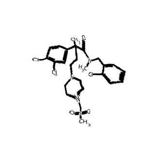 CN(Cc1ccccc1Cl)C(=O)C(C)(CCN1CCN(S(C)(=O)=O)CC1)c1ccc(Cl)c(Cl)c1